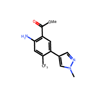 COC(=O)c1cc(-c2cnn(C)c2)c(C(F)(F)F)cc1N